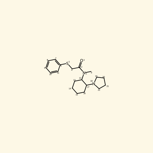 CN(C(=O)CSc1ccccc1)C1CCCCC1N1CCCC1